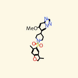 COc1cc2ncnn2cc1C1CCN(S(=O)(=O)c2cc3c(cc2C)OCC3C)CC1